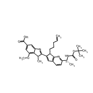 C=CCCCn1c(-c2nc3cc(C(=O)O)cc(OC)c3n2C)cc2ccc([C@@H](C)NC(=O)OC(C)(C)C)nc21